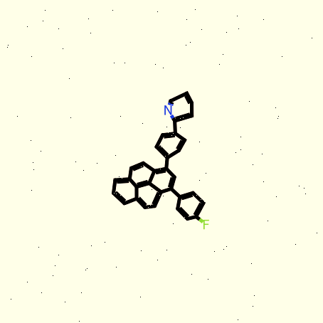 Fc1ccc(-c2cc(-c3ccc(-c4ccccn4)cc3)c3ccc4cccc5ccc2c3c54)cc1